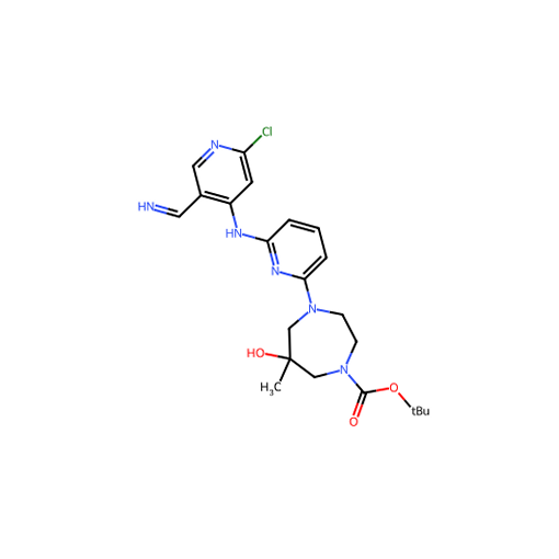 CC1(O)CN(C(=O)OC(C)(C)C)CCN(c2cccc(Nc3cc(Cl)ncc3C=N)n2)C1